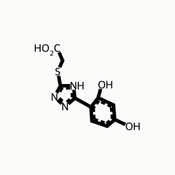 O=C(O)CSc1nnc(-c2ccc(O)cc2O)[nH]1